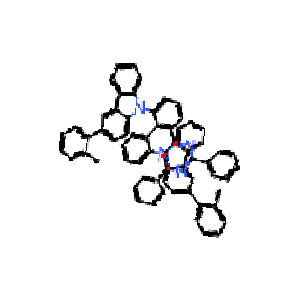 Cc1ccccc1-c1ccc2c(c1)c1ccccc1n2-c1ccccc1-c1c(-c2cc(-c3ccccc3)nc(-c3ccccc3)n2)cccc1-n1c2ccccc2c2cc(-c3ccccc3C)ccc21